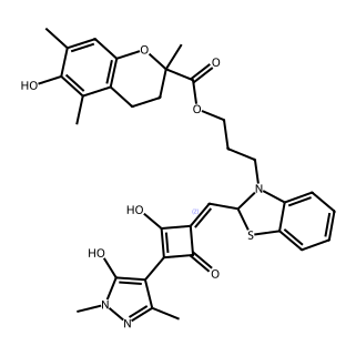 Cc1cc2c(c(C)c1O)CCC(C)(C(=O)OCCCN1c3ccccc3SC1/C=C1\C(=O)C(c3c(C)nn(C)c3O)=C1O)O2